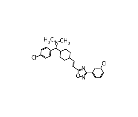 CN(C)C(c1ccc(Cl)cc1)C1CCC(C=Cc2nc(-c3cccc(Cl)c3)no2)CC1